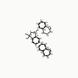 CN1CC(C)(C)c2ccccc21.c1ccc2c(c1)CCCO2.c1ccc2ncccc2c1